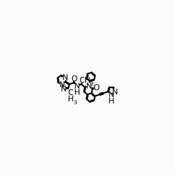 Cc1nn2cccnc2c1C(=O)NC(C)c1cc2cccc(C#Cc3ccn[nH]3)c2c(=O)n1-c1ccccc1